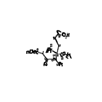 CCCCCCCCCCCC(=O)N(C(C)C)[C@@](CCC(=O)O)(C(=O)O)C(C)C